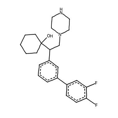 OC1(C(CN2CCNCC2)c2cccc(-c3ccc(F)c(F)c3)c2)CCCCC1